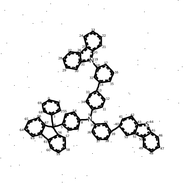 c1ccc(C2(c3ccc(N(c4ccc(-c5cccc(-n6c7ccccc7c7ccccc76)c5)cc4)c4cccc(-c5ccc6sc7ccccc7c6c5)c4)cc3)c3ccccc3-c3ccccc32)cc1